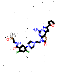 C[S@@+]([O-])CCNC(=O)c1cc(N2CCN(CCn3c(=O)sc4c3nc(N)n3nc(-c5ccco5)cc43)CC2)c(F)cc1F